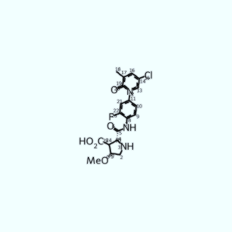 CO[C@H]1CN[C@@H](C(=O)Nc2ccc(-n3cc(Cl)cc(C)c3=O)cc2F)C1C(=O)O